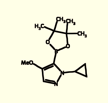 COc1cnn(C2CC2)c1B1OC(C)(C)C(C)(C)O1